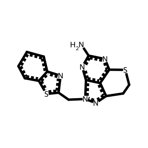 Nc1nc2c3c(nn(Cc4nc5ccccc5s4)c3n1)CCS2